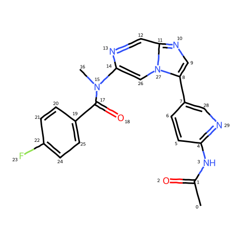 CC(=O)Nc1ccc(-c2cnc3cnc(N(C)C(=O)c4ccc(F)cc4)cn23)cn1